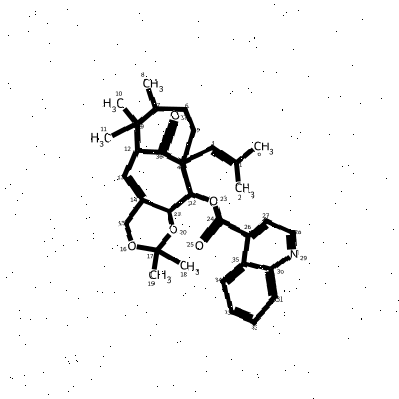 CC(C)=CC12CCC(C)C(C)(C)C(C=C3COC(C)(C)OC3C1OC(=O)c1ccnc3ccccc13)C2=O